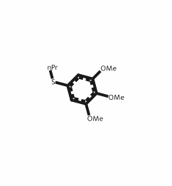 CCCSc1cc(OC)c(OC)c(OC)c1